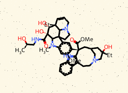 CCC1(O)CC2CN(CCc3c([nH]c4ccccc34)[C@@](C(=O)OC)(c3cc4c(cc3OC)N(C)C3C45CCN4CC=C[C@](CC)(C45)[C@@H](O)[C@]3(O)C(=O)NC[C@@H](C)O)C2)C1